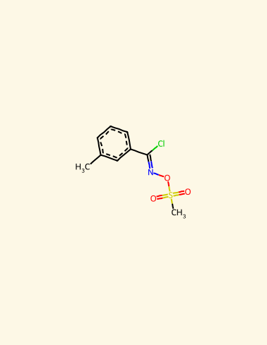 Cc1cccc(C(Cl)=NOS(C)(=O)=O)c1